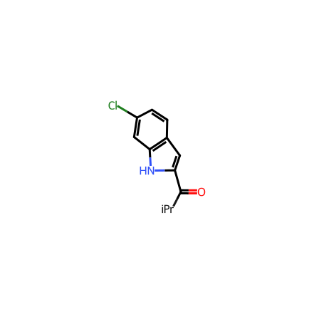 CC(C)C(=O)c1cc2ccc(Cl)cc2[nH]1